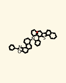 c1ccc(-c2nc3c(ccc4ccc5c(N(c6ccccc6)c6ccccc6-c6cccc7c6sc6c8ccccc8ccc76)cccc5c43)o2)cc1